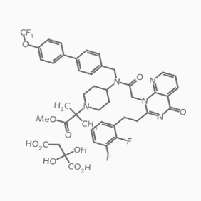 COC(=O)C(C)(C)N1CCC(N(Cc2ccc(-c3ccc(OC(F)(F)F)cc3)cc2)C(=O)Cn2c(CCc3cccc(F)c3F)nc(=O)c3cccnc32)CC1.O=C(O)CC(O)(O)C(=O)O